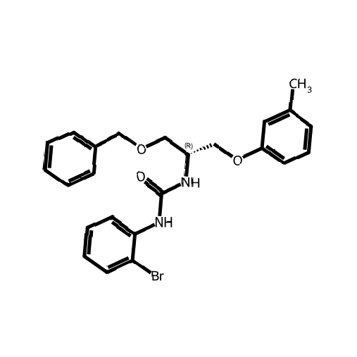 Cc1cccc(OC[C@@H](COCc2ccccc2)NC(=O)Nc2ccccc2Br)c1